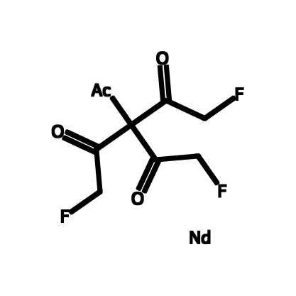 CC(=O)C(C(=O)CF)(C(=O)CF)C(=O)CF.[Nd]